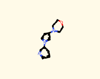 c1cncc(-n2ccc(N3CCOCC3)c2)c1